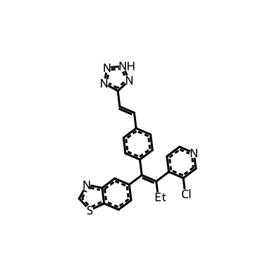 CC/C(=C(/c1ccc(/C=C/c2nn[nH]n2)cc1)c1ccc2scnc2c1)c1ccncc1Cl